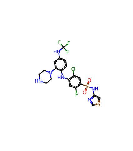 O=S(=O)(Nc1cscn1)c1cc(Cl)c(Nc2ccc(NC(F)(F)F)cc2N2CCNCC2)cc1F